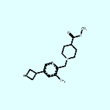 COC(=O)C1CCN(Cc2ncc(C3CNC3)cc2C)CC1